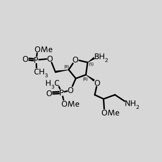 B[C@@H]1O[C@H](COP(C)(=O)OC)C(OP(C)(=O)OC)[C@@H]1OCC(CN)OC